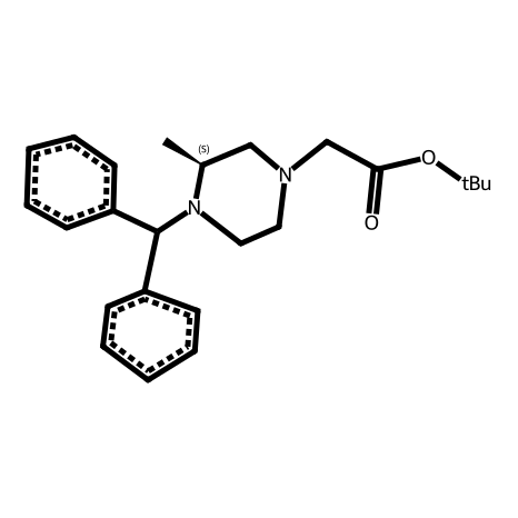 C[C@H]1CN(CC(=O)OC(C)(C)C)CCN1C(c1ccccc1)c1ccccc1